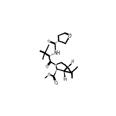 COC(=O)[C@@H]1[C@@H]2[C@H](CN1C(=O)[C@@H](NC(=O)[C@@H]1CCOC1)C(C)(C)C)C2(C)C